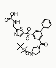 CC(C)(C)[Si](C)(C)O[C@@H]1CCN(C(=O)c2cc(-c3ccccc3)cc(S(=O)(=O)c3cnc(CNC(=O)O)s3)c2)C1